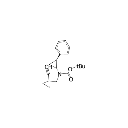 C#CC1(CN(C(=O)OC(C)(C)C)[C@@H]2C[C@H]2c2ccccc2)CC1